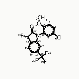 COc1ccc(Cl)cc1N1C(=O)[C@H](F)c2ccc(C(F)(F)F)cc21